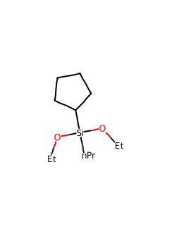 CCC[Si](OCC)(OCC)C1CCCC1